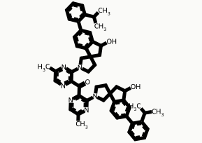 Cc1cnc(C(=O)c2ncc(C)nc2N2CCC3(CC(O)c4cc(-c5ccccc5C(C)C)ccc43)C2)c(N2CCC3(CC(O)c4cc(-c5ccccc5C(C)C)ccc43)C2)n1